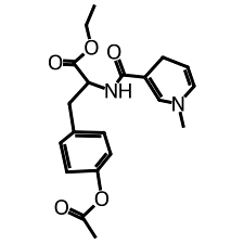 CCOC(=O)C(Cc1ccc(OC(C)=O)cc1)NC(=O)C1=CN(C)C=CC1